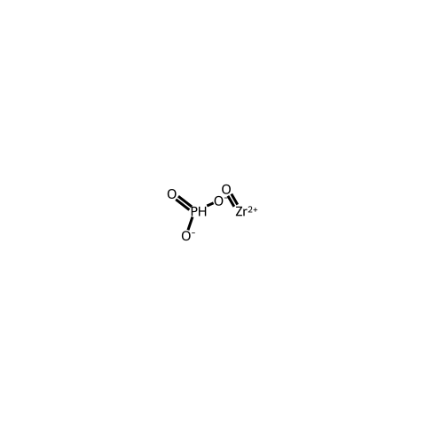 O=[PH]([O-])[O-].[O]=[Zr+2]